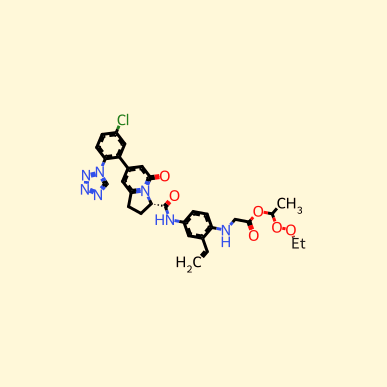 C=Cc1cc(NC(=O)[C@@H]2CCc3cc(-c4cc(Cl)ccc4-n4cnnn4)cc(=O)n32)ccc1NCC(=O)OC(C)OOCC